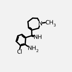 CN1CCCC=C(C(=N)c2cccc(Cl)c2N)C1